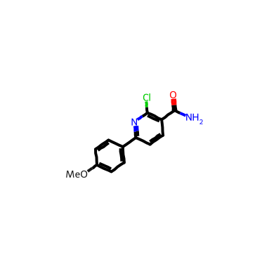 COc1ccc(-c2ccc(C(N)=O)c(Cl)n2)cc1